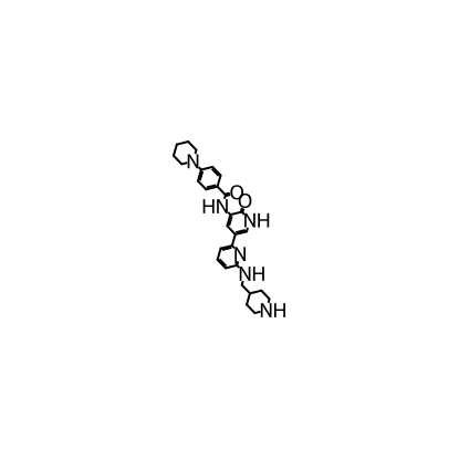 O=C(Nc1cc(-c2cccc(NCC3CCNCC3)n2)c[nH]c1=O)c1ccc(N2CCCCC2)cc1